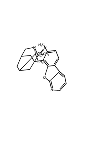 Cc1ccc2c(oc3ncccc32)c1C12CC3CC(C1)C(C)(C)N(C3)[C@@H]2C